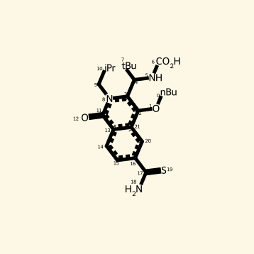 CCCCOc1c(C(NC(=O)O)C(C)(C)C)n(CC(C)C)c(=O)c2ccc(C(N)=S)cc12